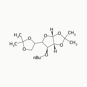 CCCCO[C@H]1C(C2COC(C)(C)O2)O[C@@H]2OC(C)(C)O[C@@H]21